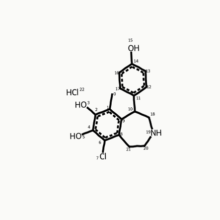 Cc1c(O)c(O)c(Cl)c2c1C(c1ccc(O)cc1)CNCC2.Cl